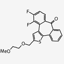 COCCOCc1cc2c(s1)c1ccccc1c(=O)c1ccc(F)c(F)c12